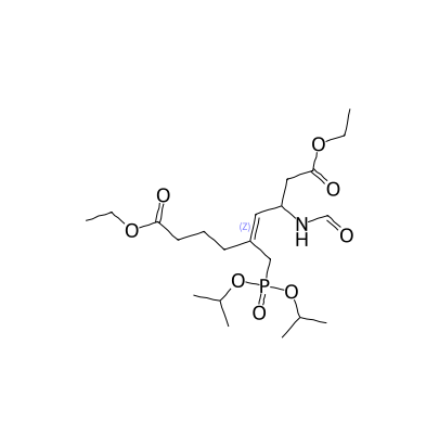 CCOC(=O)CCC/C(=C/C(CC(=O)OCC)NC=O)CP(=O)(OC(C)C)OC(C)C